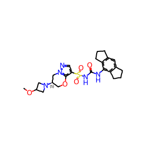 COC1CN([C@@H]2COc3c(S(=O)(=O)NC(=O)Nc4c5c(cc6c4CCC6)CCC5)cnn3C2)C1